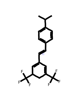 CC(C)c1ccc(/C=C/C2=CC(C(F)(F)F)CC(C(F)(F)F)=C2)cc1